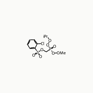 COOP(=O)(COS(=O)(=O)c1ccccc1Cl)OOC(C)C